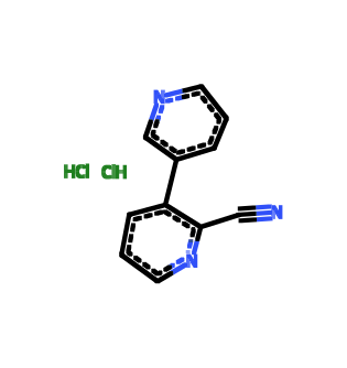 Cl.Cl.N#Cc1ncccc1-c1cccnc1